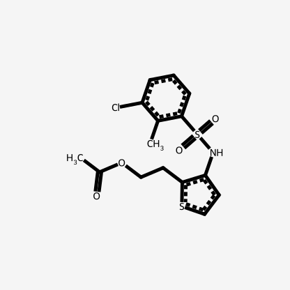 CC(=O)OCCc1sccc1NS(=O)(=O)c1cccc(Cl)c1C